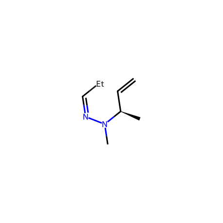 C=C[C@@H](C)N(C)/N=C\CC